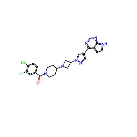 O=C(c1ccc(Cl)c(F)c1)N1CCC(N2C[C](n3cc(-c4ncnc5[nH]ccc45)cn3)C2)CC1